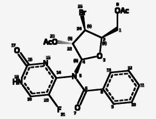 CC(=O)OC[C@H]1O[C@@H](N(C(=O)c2ccccc2)c2nc(=O)[nH]cc2F)[C@H](OC(C)=O)[C@H]1Br